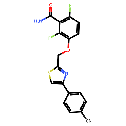 N#Cc1ccc(-c2csc(COc3ccc(F)c(C(N)=O)c3F)n2)cc1